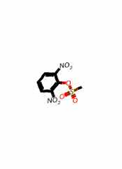 CS(=O)(=O)Oc1c([N+](=O)[O-])cccc1[N+](=O)[O-]